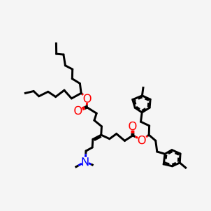 CCCCCCCC(CCCCCCC)OC(=O)CCC/C(=C/CCN(C)C)CCCC(=O)OC(CCc1ccc(C)cc1)CCc1ccc(C)cc1